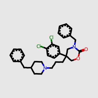 O=C1OCC(CCCN2CCC(Cc3ccccc3)CC2)(c2ccc(Cl)c(Cl)c2)CN1Cc1ccccc1